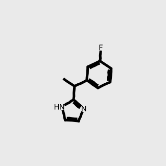 CC(c1cccc(F)c1)c1ncc[nH]1